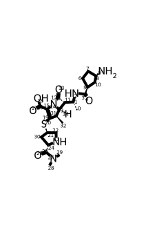 C[C@@H](NC(=O)[C@H]1CC[C@@H](N)C1)[C@H]1C(=O)N2C(C(=O)O)=C(S[C@@H]3CN[C@H](C(=O)N(C)C)C3)[C@H](C)[C@H]12